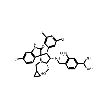 COC(O)c1ccc(CN[C@@H]2[C@H](CO)N(CC3CC3)[C@@]3(C(=O)Nc4cc(Cl)ccc43)[C@H]2c2cc(Cl)nc(Cl)c2)c([N+](=O)[O-])c1